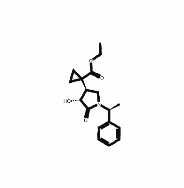 CCOC(=O)C1([C@H]2CN([C@@H](C)c3ccccc3)C(=O)[C@@H]2O)CC1